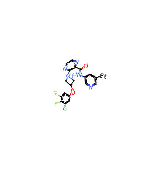 CCc1cncc(NC(=O)c2nccnc2N2CC(Oc3cc(F)c(F)c(Cl)c3)C2)c1